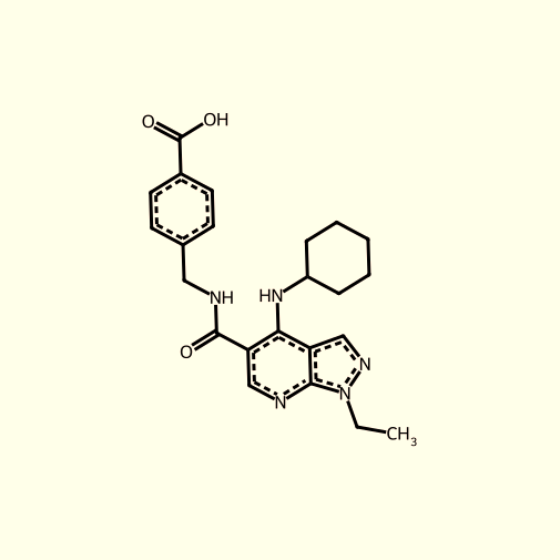 CCn1ncc2c(NC3CCCCC3)c(C(=O)NCc3ccc(C(=O)O)cc3)cnc21